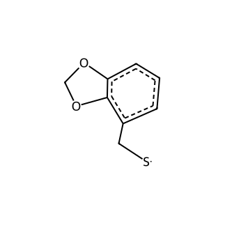 [S]Cc1cccc2c1OCO2